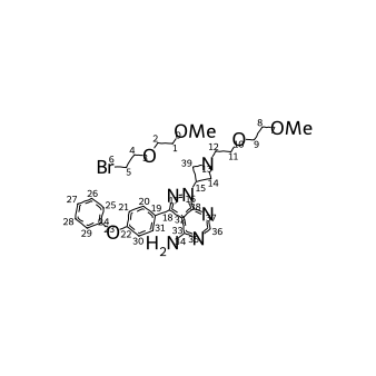 COCCOCCBr.COCCOCCN1CC(n2nc(-c3ccc(Oc4ccccc4)cc3)c3c(N)ncnc32)C1